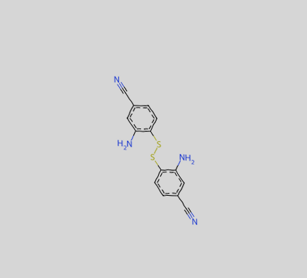 N#Cc1ccc(SSc2ccc(C#N)cc2N)c(N)c1